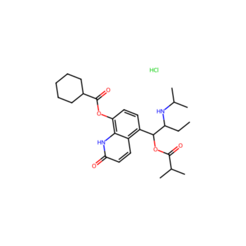 CCC(NC(C)C)C(OC(=O)C(C)C)c1ccc(OC(=O)C2CCCCC2)c2[nH]c(=O)ccc12.Cl